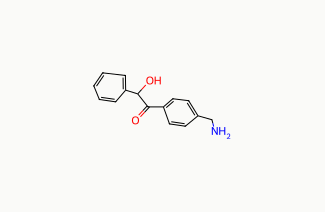 NCc1ccc(C(=O)C(O)c2ccccc2)cc1